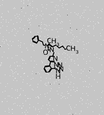 CCCCCc1c(C)n(CCc2ccccc2)c(=O)n1Cc1ccc(-c2ccccc2-c2nnn[nH]2)cn1